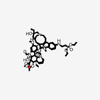 CCOP(=O)(CCNc1ccc2[nH]c3c(c2c1)CCN1C[C@@H](C[C@@](O)(CC)C1)C[C@]3(C(=O)OC)C1C=C2C(=CC1OC)N(C=O)[C@H]1[C@@](O)(C(=O)OC)[C@H](OC(C)=O)[C@]3(CC)C=CCN4CC[C@]21[C@@H]43)OCC